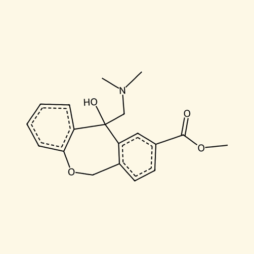 COC(=O)c1ccc2c(c1)C(O)(CN(C)C)c1ccccc1OC2